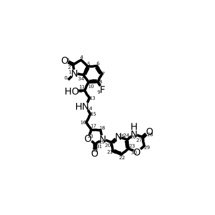 CN1C(=O)Cc2ccc(F)c(C(O)CNCCC3CN(c4ccc5c(n4)NC(=O)CO5)C(=O)O3)c21